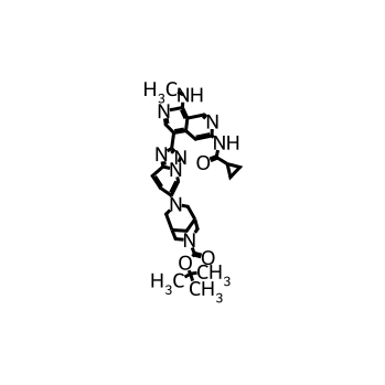 CNc1ncc(-c2nc3ccc(N4CC5CC(CN(C(=O)OC(C)(C)C)C5)C4)cn3n2)c2cc(NC(=O)C3CC3)ncc12